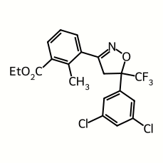 CCOC(=O)c1cccc(C2=NOC(c3cc(Cl)cc(Cl)c3)(C(F)(F)F)C2)c1C